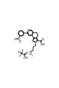 NCCCn1nc2c(c1C(=O)O)CCc1cnc(-c3cccc([N+](=O)[O-])c3)cc1-2.O=C(O)C(F)(F)F